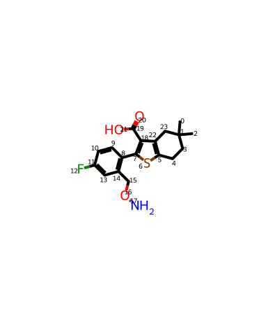 CC1(C)CCc2sc(-c3ccc(F)cc3CON)c(C(=O)O)c2C1